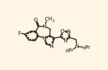 CCCN(CCC)Cc1noc(-c2ncn3c2CN(C)C(=O)c2cc(F)ccc2-3)n1